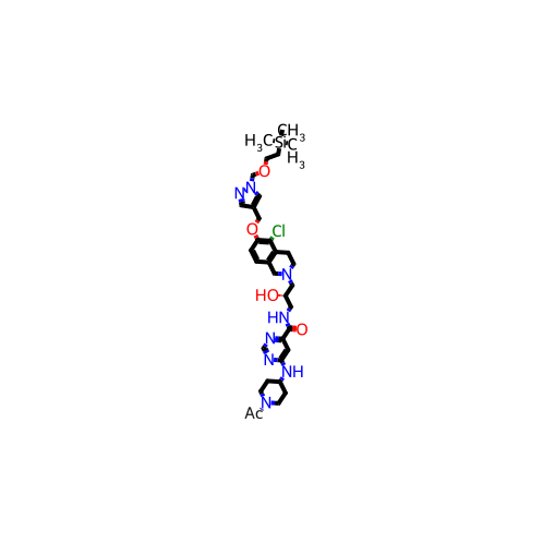 CC(=O)N1CCC(Nc2cc(C(=O)NC[C@H](O)CN3CCc4c(ccc(OCc5cnn(COCC[Si](C)(C)C)c5)c4Cl)C3)ncn2)CC1